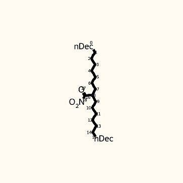 CCCCCCCCCCCCCCCCCC(CCCCCCCCCCCCCCCC)C(=O)[N+](=O)[O-]